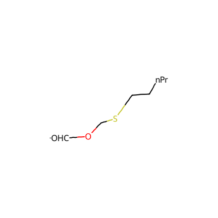 CCCCCSCO[C]=O